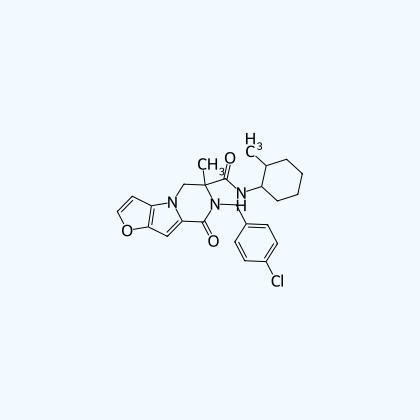 CC1CCCCC1NC(=O)C1(C)Cn2c(cc3occc32)C(=O)N1Cc1ccc(Cl)cc1